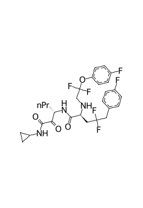 CCC[C@H](NC(=O)[C@H](CC(F)(F)Cc1ccc(F)cc1)NCC(F)(F)Oc1ccc(F)cc1)C(=O)C(=O)NC1CC1